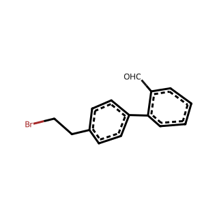 O=Cc1ccccc1-c1ccc(CCBr)cc1